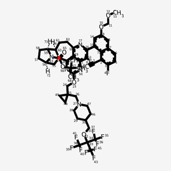 C#Cc1c(F)ccc2cc(OCOC)cc(-c3nc4c5c(nc(OCC6(CN7CCC(COC(C(F)(F)F)(C(F)(F)F)C(F)(F)F)CC7)CC6)nc5c3F)N3C[C@H]5CC[C@@H]([C@H]3CC4)N5C(=O)OC(C)(C)C)c12